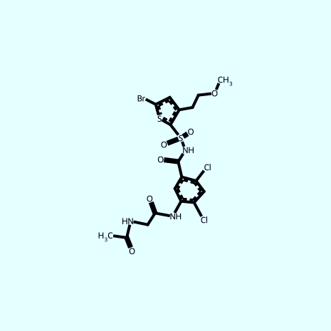 COCCc1cc(Br)sc1S(=O)(=O)NC(=O)c1cc(NC(=O)CNC(C)=O)c(Cl)cc1Cl